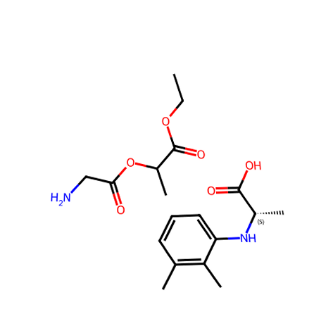 CCOC(=O)C(C)OC(=O)CN.Cc1cccc(N[C@@H](C)C(=O)O)c1C